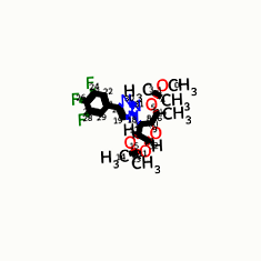 COC(C)(C)O[C@H](C)[C@@H]1O[C@@H]2OC(C)(C)O[C@H]2C1n1cc(-c2cc(F)c(F)c(F)c2)nn1